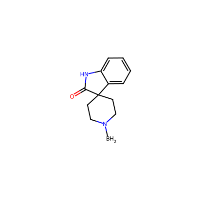 BN1CCC2(CC1)C(=O)Nc1ccccc12